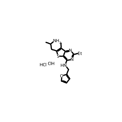 CCc1nc(NCc2ccco2)c2sc(CC(C)N)c(C)c2n1.Cl.Cl